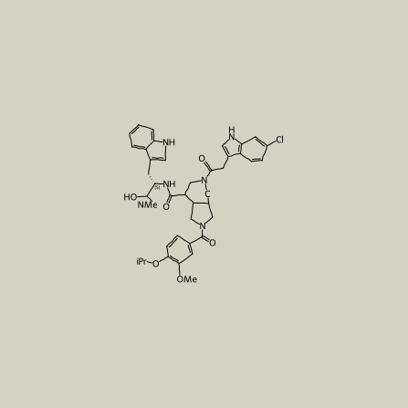 CNC(O)[C@H](Cc1c[nH]c2ccccc12)NC(=O)C1CN(C(=O)Cc2c[nH]c3cc(Cl)ccc23)CC2CN(C(=O)c3ccc(OC(C)C)c(OC)c3)CC21